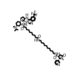 CC(C)N(C)[C@@H]1CC[C@H](N2CC[C@H](Nc3ncnc4ccc(C(F)(F)F)cc34)C2=O)[C@H](NC(=O)CCCCCCCCC(=O)NCCCCCCCCCCNC(=O)[C@H]2CC(=O)N(C)[C@@H]2c2cccnc2)C1